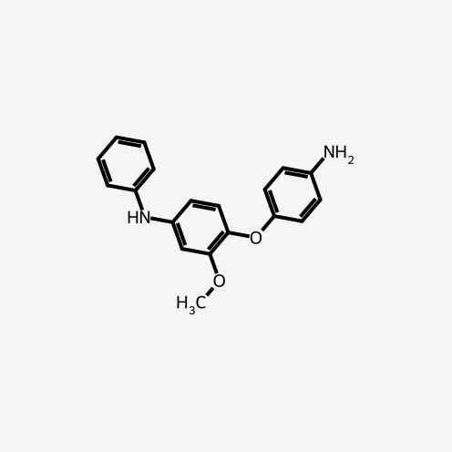 COc1cc(Nc2ccccc2)ccc1Oc1ccc(N)cc1